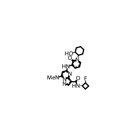 CNc1cc(Nc2cccn([C@@H]3CCCC[C@@H]3O)c2=O)nc2c(C(=O)N[C@H]3CC[C@@H]3F)cnn12